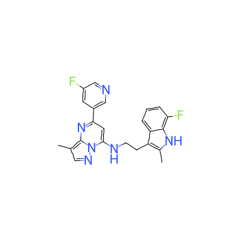 Cc1[nH]c2c(F)cccc2c1CCNc1cc(-c2cncc(F)c2)nc2c(C)cnn12